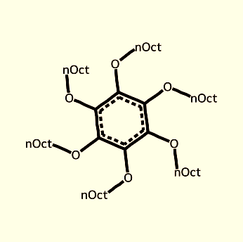 CCCCCCCCOc1c(OCCCCCCCC)c(OCCCCCCCC)c(OCCCCCCCC)c(OCCCCCCCC)c1OCCCCCCCC